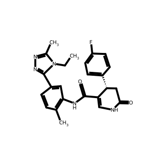 CCn1c(C)nnc1-c1ccc(C)c(NC(=O)C2=CNC(=O)C[C@H]2c2ccc(F)cc2)c1